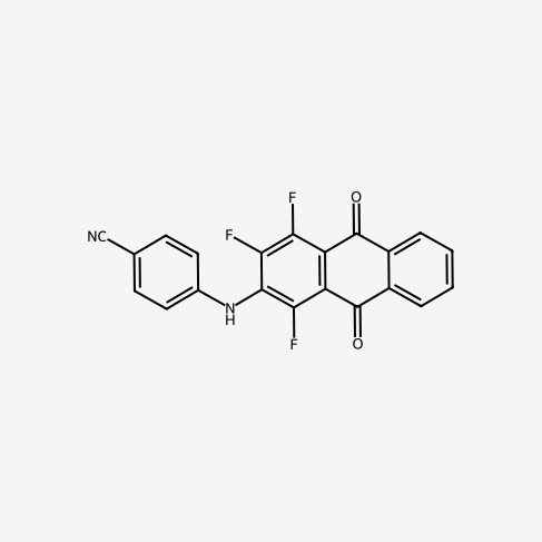 N#Cc1ccc(Nc2c(F)c(F)c3c(c2F)C(=O)c2ccccc2C3=O)cc1